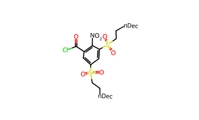 CCCCCCCCCCCCS(=O)(=O)c1cc(C(=O)Cl)c([N+](=O)[O-])c(S(=O)(=O)CCCCCCCCCCCC)c1